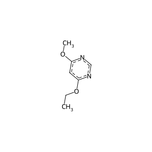 CCOc1cc(OC)ncn1